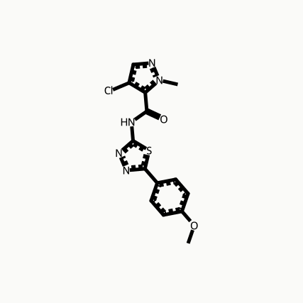 COc1ccc(-c2nnc(NC(=O)c3c(Cl)cnn3C)s2)cc1